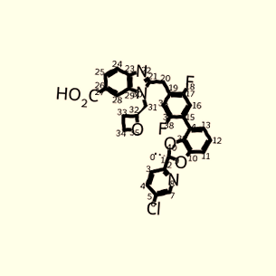 C[C@@]1(c2ccc(Cl)cn2)Oc2cccc(-c3cc(F)c(Cc4nc5ccc(C(=O)O)cc5n4C[C@@H]4CCO4)cc3F)c2O1